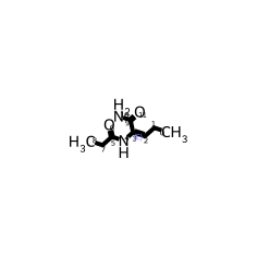 CC/C=C(/NC(=O)CC)C(N)=O